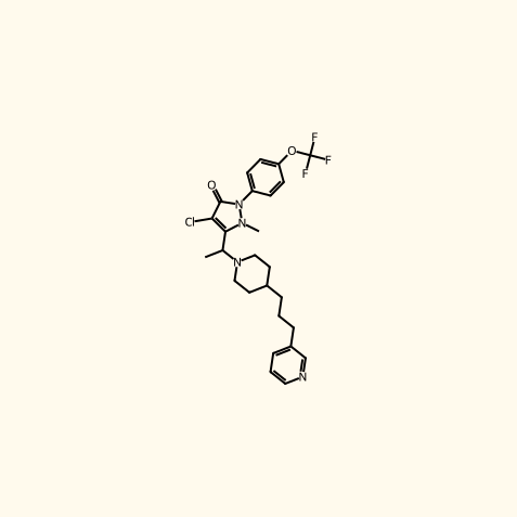 CC(c1c(Cl)c(=O)n(-c2ccc(OC(F)(F)F)cc2)n1C)N1CCC(CCCc2cccnc2)CC1